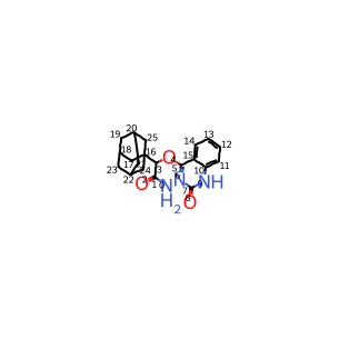 NC(=O)C(Oc1nc(=O)[nH]c2ccccc12)C12CC3CC(CC(C3)C1)C2